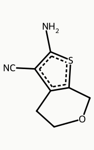 N#Cc1c(N)sc2c1CCOC2